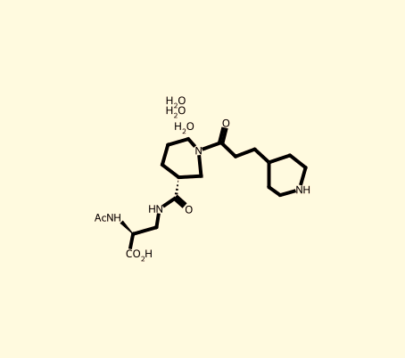 CC(=O)N[C@@H](CNC(=O)[C@@H]1CCCN(C(=O)CCC2CCNCC2)C1)C(=O)O.O.O.O